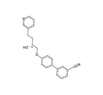 N#Cc1cccc(-c2ccc(OC[C@H](O)CCc3cccnc3)cc2)c1